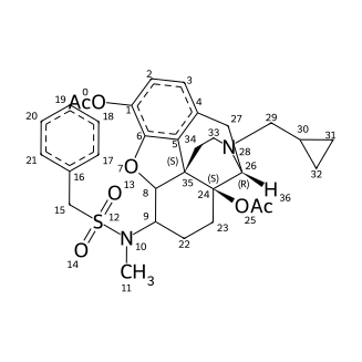 CC(=O)Oc1ccc2c3c1OC1C(N(C)S(=O)(=O)Cc4ccccc4)CC[C@@]4(OC(C)=O)[C@@H](C2)N(CC2CC2)CC[C@]314